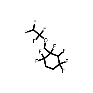 FC(F)C(F)(F)OCC1(F)C(F)C(F)(F)CCC1(F)F